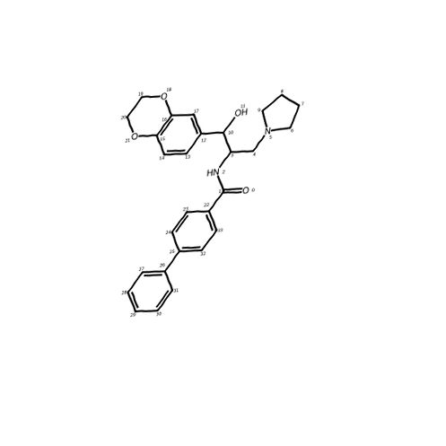 O=C(NC(CN1CCCC1)C(O)c1ccc2c(c1)OCCO2)c1ccc(-c2ccccc2)cc1